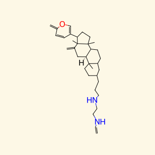 C=CNCCNCCCC1CCC2(C)C(CCC3[C@@H]2CC(=C)C2(C)C(C4=COC(=C)C=C4)CCC32C)C1